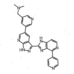 CN(C)Cc1cncc(-c2cnc3[nH]nc(-c4nc5c(-c6ccncc6)nccc5[nH]4)c3c2)c1